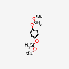 CC(C)(C)O[SiH2]Oc1ccc(O[SiH2]OC(C)(C)C)cc1